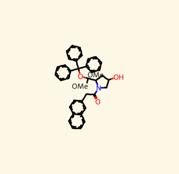 COC(OC)(OC(c1ccccc1)(c1ccccc1)c1ccccc1)C1CC(O)CN1C(=O)Cc1ccc2ccccc2c1